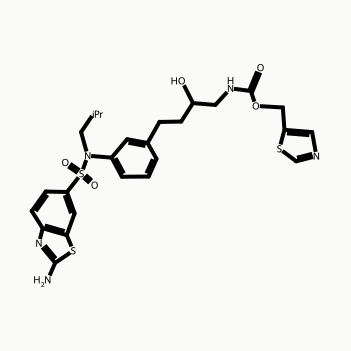 CC(C)CN(c1cccc(CCC(O)CNC(=O)OCc2cncs2)c1)S(=O)(=O)c1ccc2nc(N)sc2c1